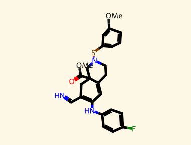 COC(=O)C12CC(C=N)=C(Nc3ccc(F)cc3)C=C1CCN(Sc1cccc(OC)c1)C2